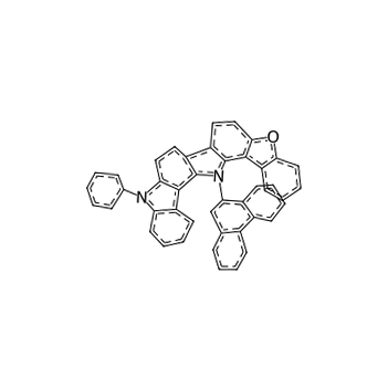 c1ccc(-n2c3ccccc3c3c2ccc2c4ccc5oc6ccccc6c5c4n(-c4cc5ccccc5c5ccccc45)c23)cc1